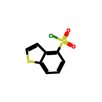 O=S(=O)(Cl)c1cccc2sccc12